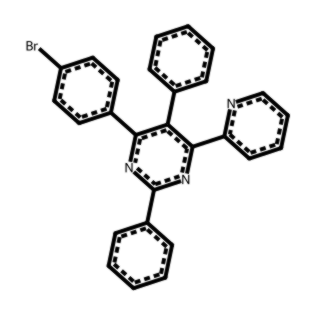 Brc1ccc(-c2nc(-c3ccccc3)nc(-c3ccccn3)c2-c2ccccc2)cc1